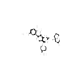 Nc1cc(Cl)c(C(F)(F)F)c(-c2ncc3c(N4CCC(O)CC4)nc(OC[C@@]45CCCN4C[C@H](F)C5)nc3c2F)c1